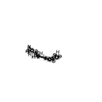 CC(C)(C(=O)Nc1ccc(C#N)c(C(F)(F)F)c1)n1cc(C#CC2CN(c3ccc4c(c3)CN(C3CCC(=O)NC3=O)C4=O)C2)cn1